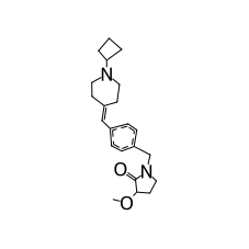 COC1CCN(Cc2ccc(C=C3CCN(C4CCC4)CC3)cc2)C1=O